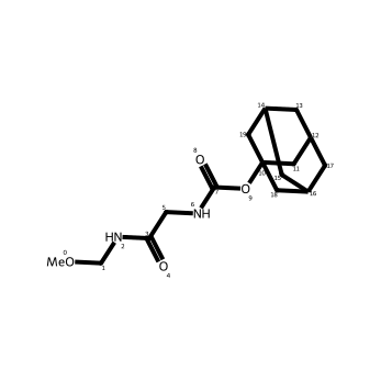 COCNC(=O)CNC(=O)OC12CC3CC(CC(C3)C1)C2